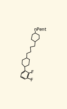 CCCCCC1CCC(CCCCC2CCC(c3cccc(F)c3F)CC2)CC1